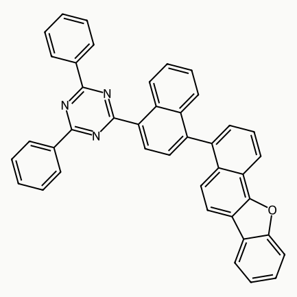 c1ccc(-c2nc(-c3ccccc3)nc(-c3ccc(-c4cccc5c4ccc4c6ccccc6oc54)c4ccccc34)n2)cc1